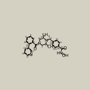 CC1CN(C(=O)c2ccccc2-c2cccnc2)CC(C)N1Cc1ccc(C(=O)NO)cc1